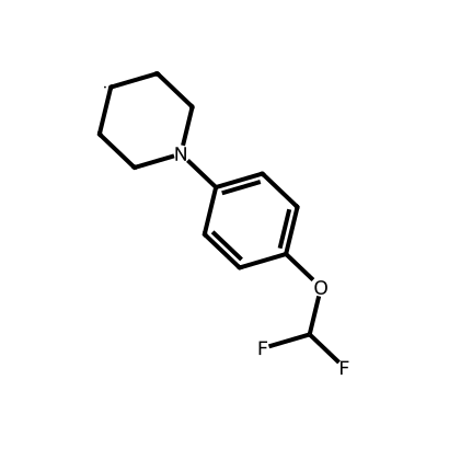 FC(F)Oc1ccc(N2CC[CH]CC2)cc1